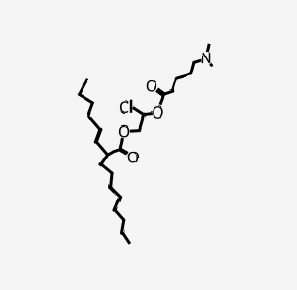 CCCCCCCCC(CCCCCC)C(=O)OCC(Cl)OC(=O)CCCCN(C)C